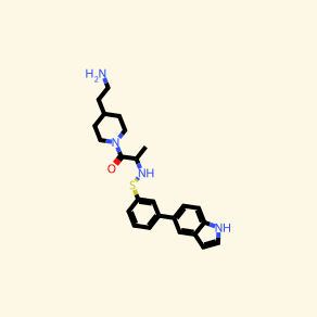 CC(NSc1cccc(-c2ccc3[nH]ccc3c2)c1)C(=O)N1CCC(CCN)CC1